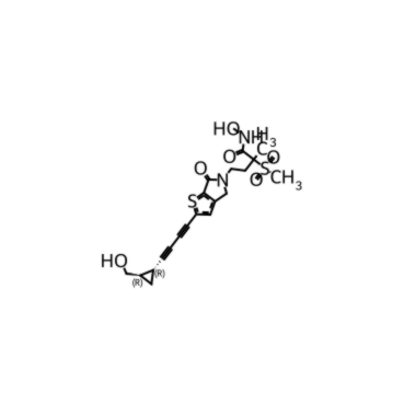 CC(CCN1Cc2cc(C#CC#C[C@@H]3C[C@H]3CO)sc2C1=O)(C(=O)NO)S(C)(=O)=O